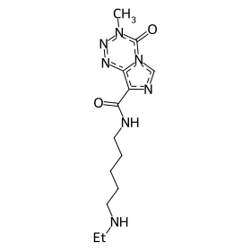 CCNCCCCCNC(=O)c1ncn2c(=O)n(C)nnc12